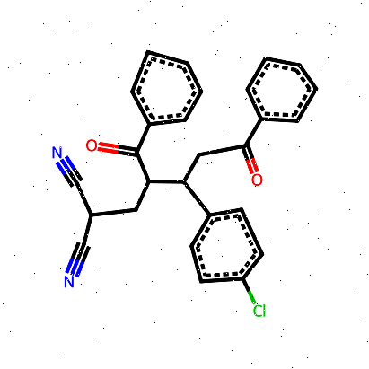 N#CC(C#N)CC(C(=O)c1ccccc1)C(CC(=O)c1ccccc1)c1ccc(Cl)cc1